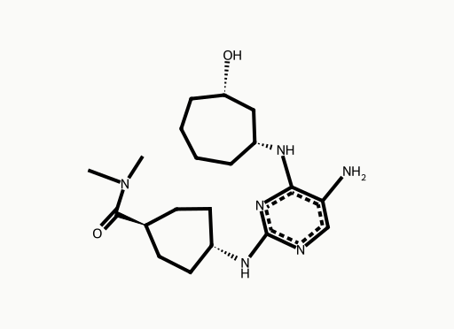 CN(C)C(=O)[C@H]1CC[C@H](Nc2ncc(N)c(N[C@@H]3CCCC[C@H](O)C3)n2)CC1